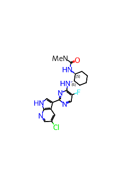 CNC(=O)N[C@H]1CCCC[C@@H]1Nc1nc(-c2c[nH]c3ncc(Cl)cc23)ncc1F